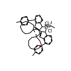 Cc1ccc(-c2cccc3c2C=C(CC2(C)CCCCCCCC2)[CH]3[Zr]([Cl])([Cl])([CH]2C(CC3(C)CCCCCCCC3)=Cc3c(-c4ccc(C)cc4)cccc32)[SiH](C)C)cc1